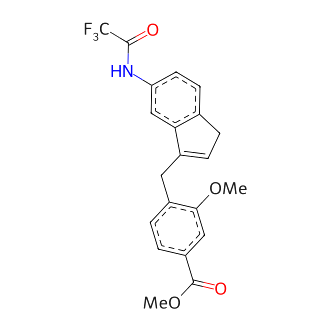 COC(=O)c1ccc(CC2=CCc3ccc(NC(=O)C(F)(F)F)cc32)c(OC)c1